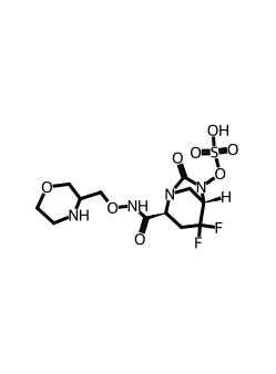 O=C(NOCC1COCCN1)[C@@H]1CC(F)(F)[C@@H]2CN1C(=O)N2OS(=O)(=O)O